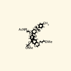 COCCCN1CCOc2ccc(CO[C@H]3CN(S(=O)(=O)c4ccc(C)cc4)CC[C@]3(OCCNC(C)=O)c3ccc(COCCOC)cc3)cc21